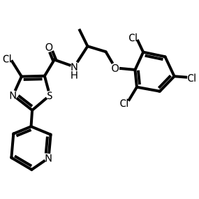 CC(COc1c(Cl)cc(Cl)cc1Cl)NC(=O)c1sc(-c2cccnc2)nc1Cl